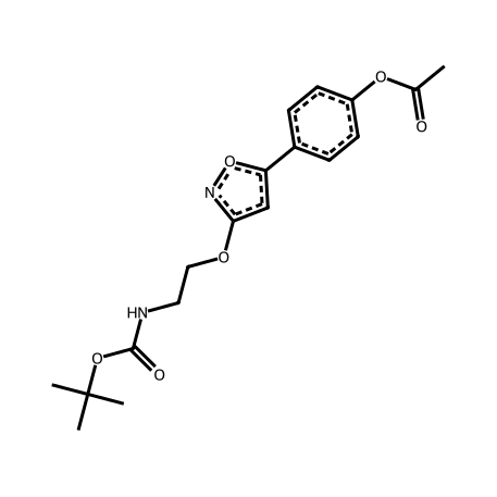 CC(=O)Oc1ccc(-c2cc(OCCNC(=O)OC(C)(C)C)no2)cc1